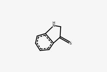 S=C1CNc2ccccc21